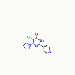 O=c1[nH]c(-c2ccncc2)nc(N2CCCC2)c1Cl